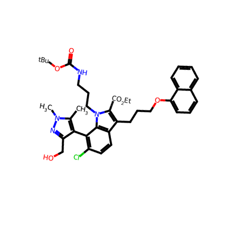 CCOC(=O)c1c(CCCOc2cccc3ccccc23)c2ccc(Cl)c(-c3c(CO)nn(C)c3C)c2n1CCCNC(=O)OC(C)(C)C